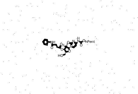 CCCCCOC(=O)Nc1ccn([C@@H]2O[C@H](CO)[C@@H](OC(=O)CCC(=O)Nc3ccccc3)C2(F)F)c(=O)n1